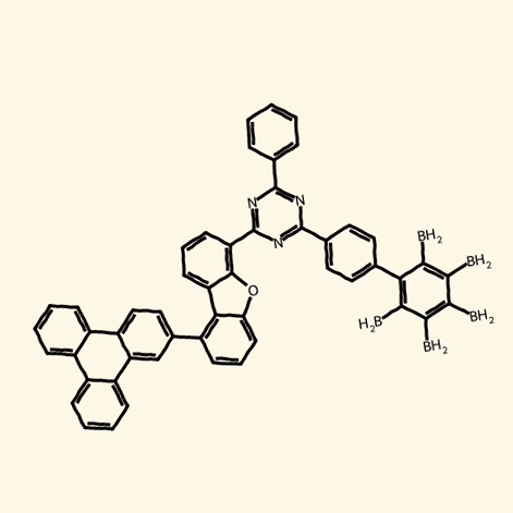 Bc1c(B)c(B)c(-c2ccc(-c3nc(-c4ccccc4)nc(-c4cccc5c4oc4cccc(-c6ccc7c8ccccc8c8ccccc8c7c6)c45)n3)cc2)c(B)c1B